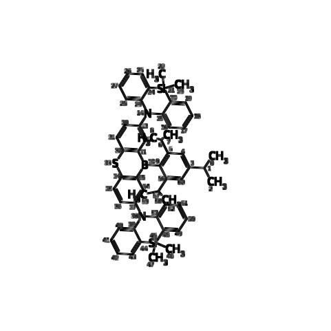 CC(C)c1cc(C(C)C)c(B2c3cc(N4c5ccccc5[Si](C)(C)c5ccccc54)ccc3Sc3ccc(N4c5ccccc5[Si](C)(C)c5ccccc54)cc32)c(C(C)C)c1